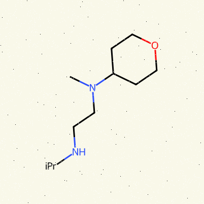 CC(C)NCCN(C)C1CCOCC1